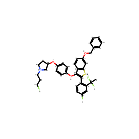 CC(F)(F)c1cc(F)ccc1-c1sc2cc(OCc3ccccc3)ccc2c1Oc1ccc(OC2CCN(CCCF)C2)cc1